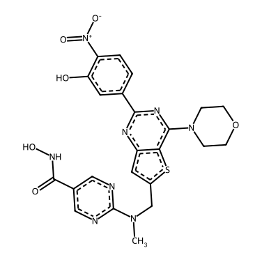 CN(Cc1cc2nc(-c3ccc([N+](=O)[O-])c(O)c3)nc(N3CCOCC3)c2s1)c1ncc(C(=O)NO)cn1